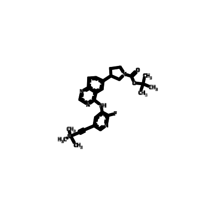 CC(C)(C)OC(=O)N1CCC(c2ccc3ncnc(Nc4cc(C#C[Si](C)(C)C)cnc4F)c3c2)C1